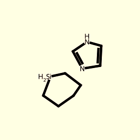 C1CC[SiH2]CC1.c1c[nH]cn1